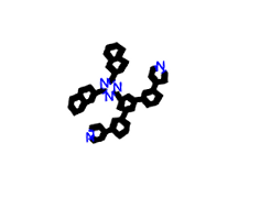 c1cc(-c2ccncc2)cc(-c2cc(-c3cccc(-c4ccncc4)c3)cc(-c3nc(-c4ccc5ccccc5c4)nc(-c4ccc5ccccc5c4)n3)c2)c1